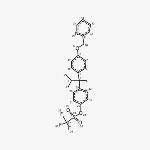 CC(C)C(C)(c1ccc(OCc2ccccn2)cc1)c1ccc(OS(=O)(=O)C(F)(F)F)cn1